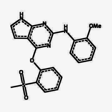 COc1ccccc1Nc1nc(Oc2ccccc2S(C)(=O)=O)c2cc[nH]c2n1